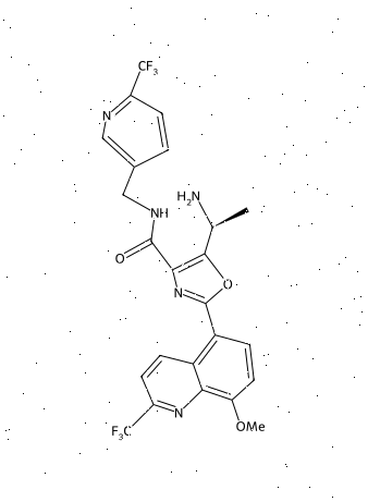 COc1ccc(-c2nc(C(=O)NCc3ccc(C(F)(F)F)nc3)c([C@H](C)N)o2)c2ccc(C(F)(F)F)nc12